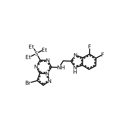 CCS(CC)(CC)c1nc(NCc2nc3c(F)c(F)ccc3[nH]2)n2ncc(Br)c2n1